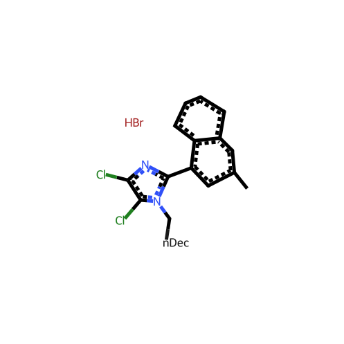 Br.CCCCCCCCCCCn1c(-c2cc(C)cc3ccccc23)nc(Cl)c1Cl